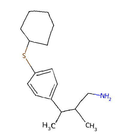 CC(CN)C(C)c1ccc(SC2CCCCC2)cc1